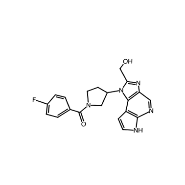 O=C(c1ccc(F)cc1)N1CCC(n2c(CO)nc3cnc4[nH]ccc4c32)C1